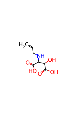 C=CCNC(C(=O)O)C(O)C(=O)O